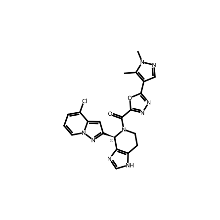 Cc1c(-c2nnc(C(=O)N3CCc4[nH]cnc4[C@H]3c3cc4c(Cl)cccn4n3)o2)cnn1C